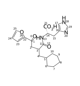 O=C(CC(CC1CCCCC1)C(=O)N[C@@H](Cc1c[nH]cn1)C(=O)O)c1ccco1